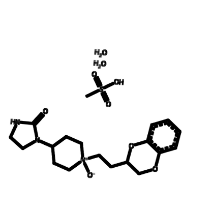 CS(=O)(=O)O.O.O.O=C1NCCN1C1CC[N+]([O-])(CCC2COc3ccccc3O2)CC1